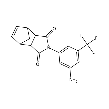 Nc1cc(N2C(=O)C3C4C=CC(C4)C3C2=O)cc(C(F)(F)F)c1